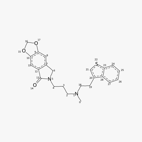 CN(CCCN1Cc2cc3c(cc2C1=O)OCO3)CCc1csc2ccccc12